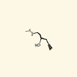 C#CCC(O)CSSC